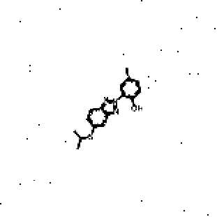 Cc1ccc(O)c(-n2nc3ccc(SC(C)C)cc3n2)c1